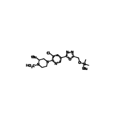 CC(C)(C)C1CN(c2ncc(-c3nnc(CO[Si](C)(C)C(C)(C)C)o3)cc2Cl)CCN1C(=O)O